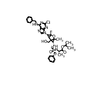 CC(C)OC(=O)[C@H](C)NP(=O)(OC[C@H]1C2(C)OC3(F)C([C@@H]3n3cnc4c(NCc5ccccc5)nc(Cl)nc43)C12CO)Oc1ccccc1